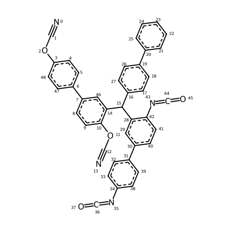 N#COc1ccc(-c2ccc(OC#N)c(C(c3ccc(-c4ccccc4)cc3)c3cc(-c4ccc(N=C=O)cc4)ccc3N=C=O)c2)cc1